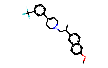 COc1ccc2cc(C(C)CN3CC=C(c4cccc(C(F)(F)F)c4)CC3)ccc2c1